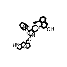 C#Cc1cccc2cc(O)cc(N3CCc4c(nc(OCC56CCCN5C5CCNC5C6)nc4N4CC5CCC(C4)N5)C3)c12